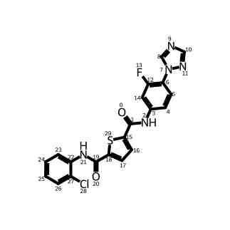 O=C(Nc1ccc(-n2cncn2)c(F)c1)c1ccc(C(=O)Nc2ccccc2Cl)s1